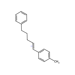 Cc1ccc(/C=C/CCCc2ccccc2)cc1